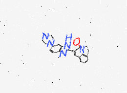 CN1CCN(c2ccc3nc(-c4cc5cccc6c5n(c4=O)CC6)[nH]c3c2)CC1